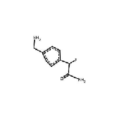 NCc1ccc(C(F)C(N)=O)cc1